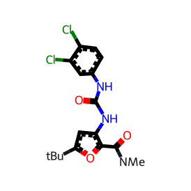 CNC(=O)c1oc(C(C)(C)C)cc1NC(=O)Nc1ccc(Cl)c(Cl)c1